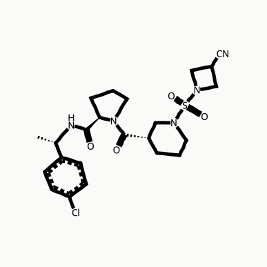 C[C@H](NC(=O)[C@H]1CCCN1C(=O)[C@H]1CCCN(S(=O)(=O)N2CC(C#N)C2)C1)c1ccc(Cl)cc1